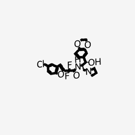 O=C(N[C@H](CN1CCC1)[C@@H](O)c1ccc2c(c1)OCCO2)C(F)(F)c1cc2cc(Cl)ccc2o1